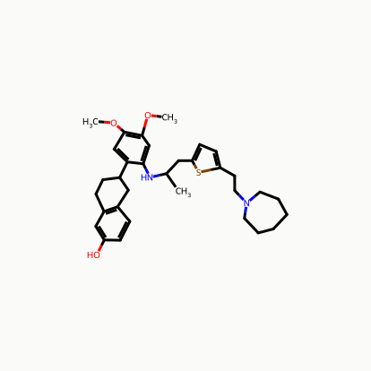 COc1cc(NC(C)Cc2ccc(CCN3CCCCCC3)s2)c(C2CCc3cc(O)ccc3C2)cc1OC